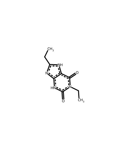 CCc1nc2[nH]c(=O)n(CC)c(=O)c2[nH]1